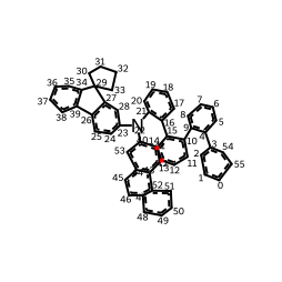 c1ccc(-c2ccccc2-c2ccccc2-c2ccccc2N(c2ccc3c(c2)C2(CCCC2)c2ccccc2-3)c2ccc3c(ccc4ccccc43)c2)cc1